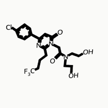 O=C(Cn1c(CCCC(F)(F)F)nc(-c2ccc(Cl)cc2)cc1=O)N(CCO)CCO